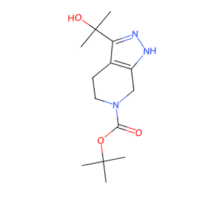 CC(C)(C)OC(=O)N1CCc2c(C(C)(C)O)n[nH]c2C1